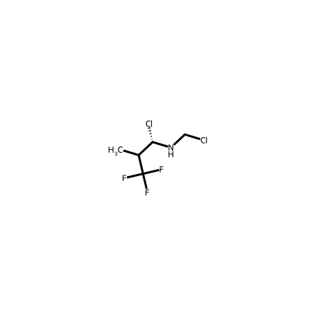 CC([C@H](Cl)NCCl)C(F)(F)F